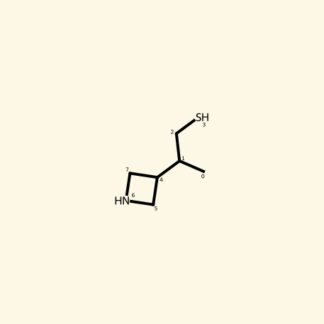 CC(CS)C1CNC1